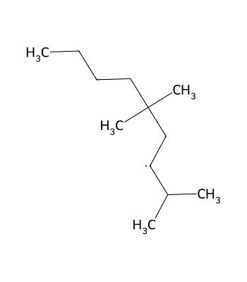 CCCCC(C)(C)C[CH]C(C)C